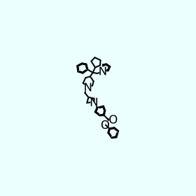 O=C(Oc1ccccc1)c1ccc(N2CC(CN3CCC(C(Cn4cccc4)(c4ccccc4)C4CCCC4)CC3)C2)cc1